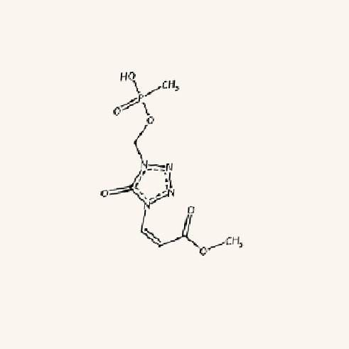 COC(=O)/C=C\n1nnn(COP(C)(=O)O)c1=O